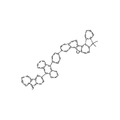 CC1(C)c2ccccc2-c2c1ccc1oc3c4cc(-c5ccc(-c6c7ccccc7c(-c7ccc8sc9ccccc9c8c7)c7ccccc67)cc5)ccc4ccc3c21